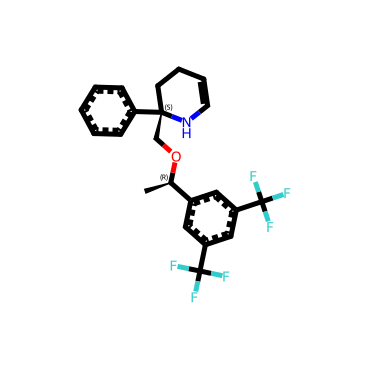 C[C@@H](OC[C@@]1(c2ccccc2)CCC=CN1)c1cc(C(F)(F)F)cc(C(F)(F)F)c1